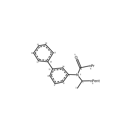 CCCCCC(C)N(C(=O)CCC)c1cccc(-c2ccccc2)c1